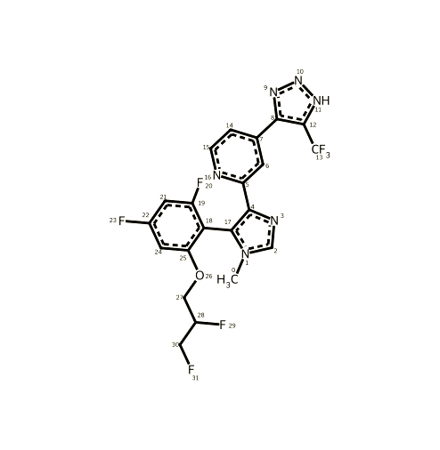 Cn1cnc(-c2cc(-c3nn[nH]c3C(F)(F)F)ccn2)c1-c1c(F)cc(F)cc1OCC(F)CF